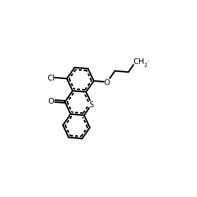 [CH2]CCOc1ccc(Cl)c2c(=O)c3ccccc3sc12